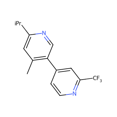 Cc1cc(C(C)C)ncc1-c1ccnc(C(F)(F)F)c1